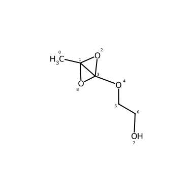 CC12OC1(OCCO)O2